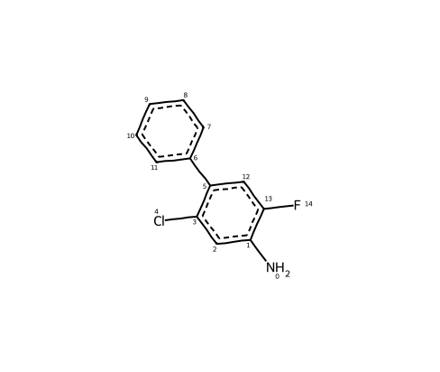 Nc1cc(Cl)c(-c2ccccc2)cc1F